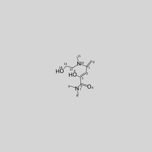 C=C(/C=C(\O)C(=O)N(C)C)N(C)CCO